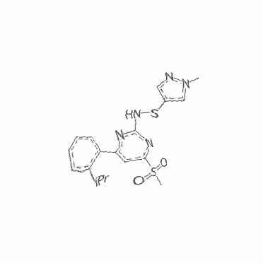 CC(C)c1ccccc1-c1cc(S(C)(=O)=O)nc(NSc2cnn(C)c2)n1